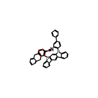 N#Cc1ccc2c(c1)C1c3ccccc3C2c2ccc(C#N)c(-n3c4ccccc4c4cc5c6ccccc6n(-c6ccc(-c7ccccc7)cc6)c5cc43)c21